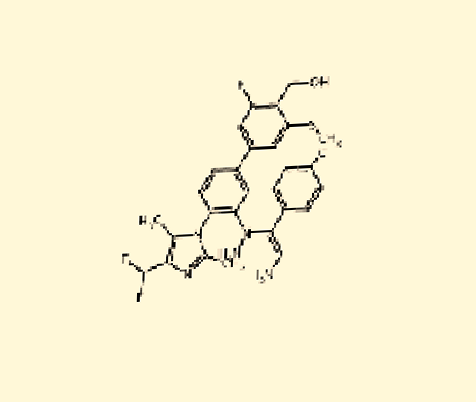 CSc1cc(-c2ccc(-n3c(C)nc(C(F)F)c3C)c(N(N)/C(=C\N)c3ccc(Cl)cc3)c2)cc(F)c1CO